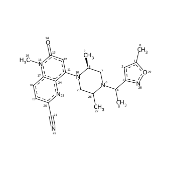 Cc1cc(C(C)N2C[C@H](C)N(c3cc(=O)n(C)c4ccc(C#N)nc34)CC2C)no1